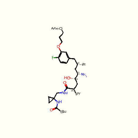 COCCCOc1cc(C[C@@H](C[C@H](N)[C@@H](O)C[C@H](C(=O)NCC2(NC(=O)C(C)(C)C)CC2)C(C)C)C(C)C)ccc1F